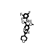 COc1cc2nc(C3CCOCC3)cn2cc1C(=O)Nc1cc(F)cc(F)c1F